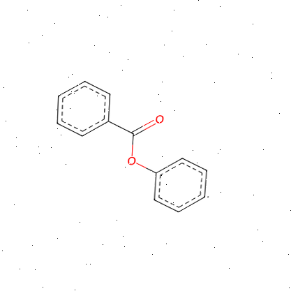 O=C(Oc1cc[c]cc1)c1ccccc1